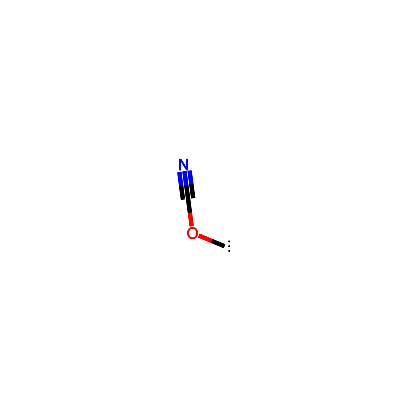 [C]OC#N